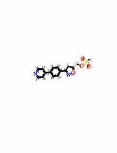 CS(=O)(=O)OC[C@H]1CC(c2ccc(-c3ccncc3)cc2)=NO1